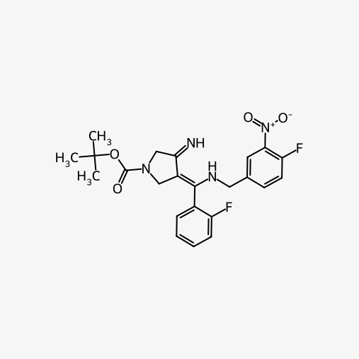 CC(C)(C)OC(=O)N1CC(=N)/C(=C(\NCc2ccc(F)c([N+](=O)[O-])c2)c2ccccc2F)C1